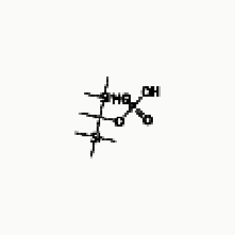 CC(OP(=O)(O)O)([Si](C)(C)C)[Si](C)(C)C